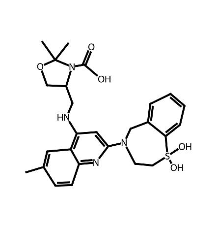 Cc1ccc2nc(N3CCS(O)(O)c4ccccc4C3)cc(NCC3COC(C)(C)N3C(=O)O)c2c1